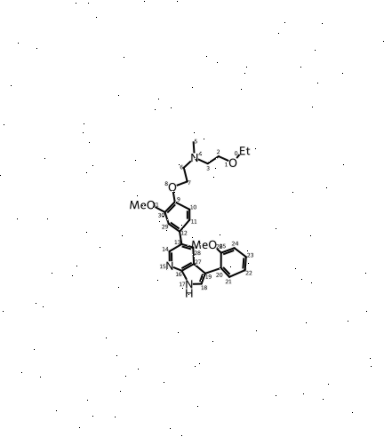 CCOCCN(C)CCOc1ccc(-c2cnc3[nH]cc(-c4ccccc4OC)c3c2)cc1OC